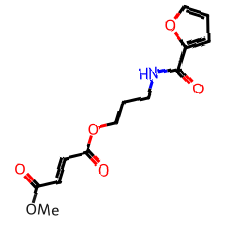 COC(=O)/C=C/C(=O)OCCCNC(=O)c1ccco1